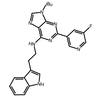 CCC(C)n1cnc2c(NCCc3c[nH]c4ccccc34)nc(-c3cncc(F)c3)nc21